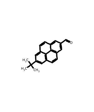 CC(C)(C)c1cc2ccc3cc(C=O)cc4ccc(c1)c2c34